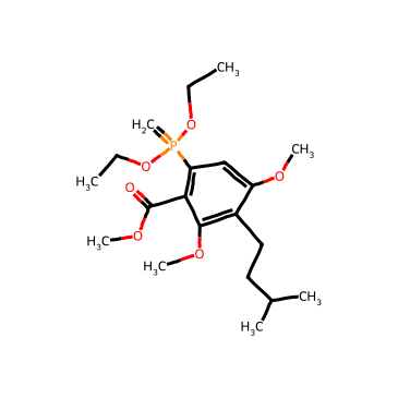 C=P(OCC)(OCC)c1cc(OC)c(CCC(C)C)c(OC)c1C(=O)OC